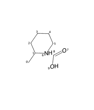 CC1CCCCN1.O=CO